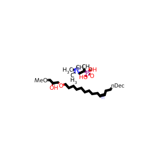 CC(C[N+](C)(C)C)P(=O)(O)O.CCCCCCCCCCCC/C=C\CCCCCCCCCOC[C@@H](O)COC